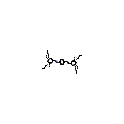 ICCOc1cc(/C=C/c2ccc(/C=C/c3cc(OCCI)cc(OCCI)c3)cc2)cc(OCCI)c1